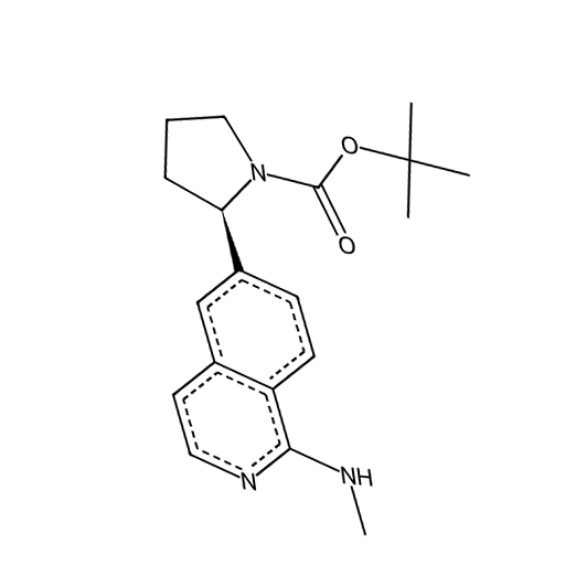 CNc1nccc2cc([C@H]3CCCN3C(=O)OC(C)(C)C)ccc12